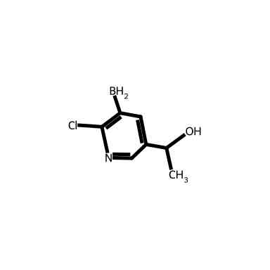 Bc1cc(C(C)O)cnc1Cl